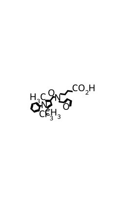 Cc1cc(C(=O)N(CCCCC(=O)O)Cc2ccco2)c(C)n1-c1ccccc1C(F)(F)F